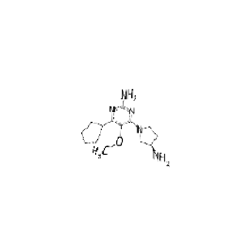 COc1c(C2CCCC2)nc(N)nc1N1CC[C@@H](N)C1